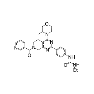 CCNC(=O)Nc1ccc(-c2nc3c(c(N4CCOCC4C)n2)CCN(C(=O)c2cccnc2)C3)cc1